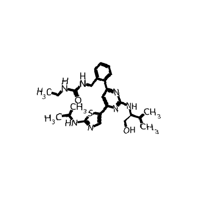 CCNC(=O)NCc1ccccc1-c1cc(-c2cnc(NC(C)C)s2)nc(N[C@H](CO)C(C)C)n1